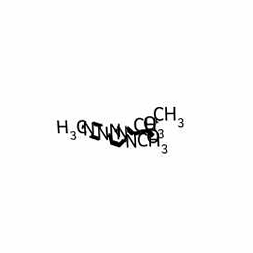 CCOC(=O)C(C)(C)c1cn2nc(N3CCN(C)CC3)ccc2n1